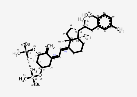 C=C1/C(=C\C=C2/CCC[C@]3(C)[C@@H]([C@@H](C)Cc4cc(C)ccc4S(=O)(=O)O)CC[C@@H]23)C[C@@H](O[Si](C)(C)C(C)(C)C)C[C@@H]1O[Si](C)(C)C(C)(C)C